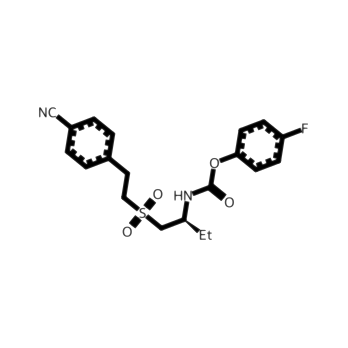 CC[C@@H](CS(=O)(=O)CCc1ccc(C#N)cc1)NC(=O)Oc1ccc(F)cc1